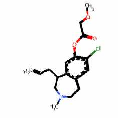 C=CCC1CN(C)CCc2cc(Cl)c(OC(=O)COC)cc21